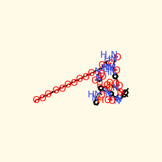 COCCOCCOCCCOCCOCCOCCOCCOCCOCCOCCN(CCC(=O)N[C@H](C(=O)N[C@@H](CCCNC(N)=O)C(=O)Nc1ccc(COC(=O)N(CCOC23CC4(C)CC(C)(CC(Cn5ncc(-c6ccc(N7CCc8cccc(C(=O)Nc9nc%10ccccc%10s9)c8C7)nc6C(=O)O)c5C)(C4)C2)C3)CCS(=O)(=O)O)cc1)C(C)C)C(=O)CN1C(=O)C=CC1=O